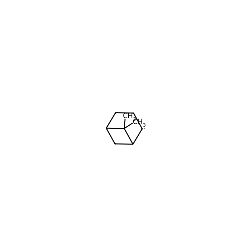 CC1(C)C2[CH]CCC1C2